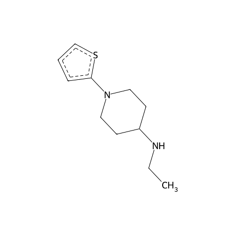 CCNC1CCN(c2cccs2)CC1